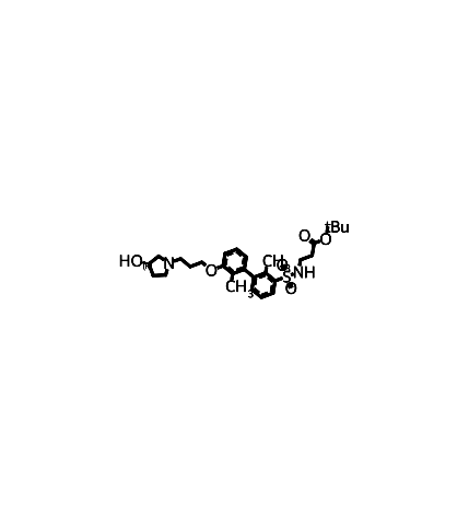 Cc1c(OCCCN2CC[C@@H](O)C2)cccc1-c1cccc(S(=O)(=O)NCCC(=O)OC(C)(C)C)c1C